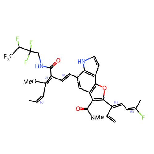 C=C/C(=C\C=C(/C)F)c1oc2c(cc(/C=C/C(C(=O)NCC(F)(F)C(F)C(F)(F)F)=C(\C=C/C)OC)c3[nH]ccc32)c1C(=O)NC